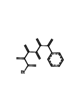 C=C(CC)C(=C)C(=C)C(=C)C(=C)C(=C)c1ccccc1